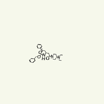 CCN(CC)C1CCN(C(=O)C[C@H](CSc2ccccc2)NC(=O)OCc2ccccc2)CC1